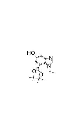 CCn1cnc2cc(O)cc(B3OC(C)(C)C(C)(C)O3)c21